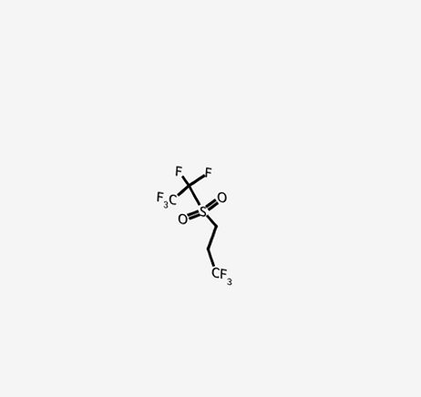 O=S(=O)(CCC(F)(F)F)C(F)(F)C(F)(F)F